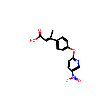 CC(=CC(=O)O)c1ccc(Oc2ccc([N+](=O)[O-])cn2)cc1